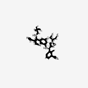 Cc1c(C#N)cccc1[C@H](Nc1cc(Cl)cc2c(NCC(C)(C)C)c(C#N)cnc12)c1cn(C(CF)CF)nn1